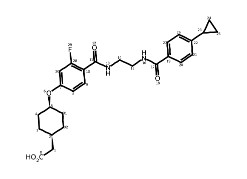 O=C(O)C[C@H]1CC[C@@H](Oc2ccc(C(=O)NCCNC(=O)c3ccc(C4CC4)cc3)c(F)c2)CC1